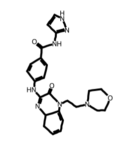 O=C(Nc1cc[nH]n1)c1ccc(NC2=NC3CC=CC=C3N(CCN3CCOCC3)C2=O)cc1